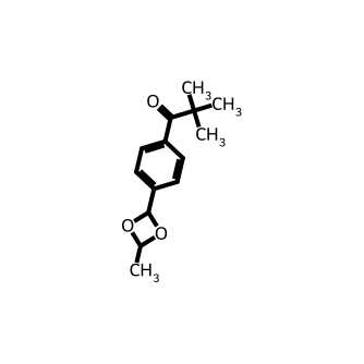 CC1OC(c2ccc(C(=O)C(C)(C)C)cc2)O1